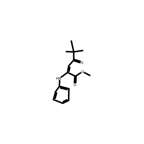 COC(=O)C(=CC(=O)C(C)(C)C)Nc1ccccc1